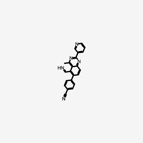 Cc1nc(-c2cccnc2)nc2ccc(-c3ccc(C#N)cc3)c(C=N)c12